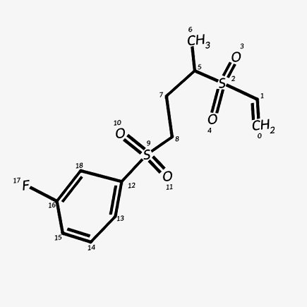 C=CS(=O)(=O)C(C)CCS(=O)(=O)c1cccc(F)c1